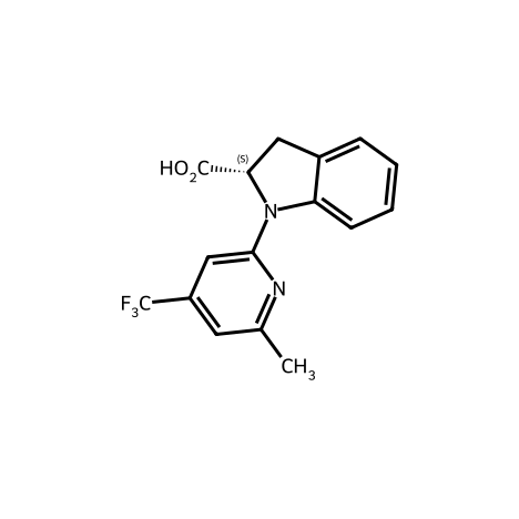 Cc1cc(C(F)(F)F)cc(N2c3ccccc3C[C@H]2C(=O)O)n1